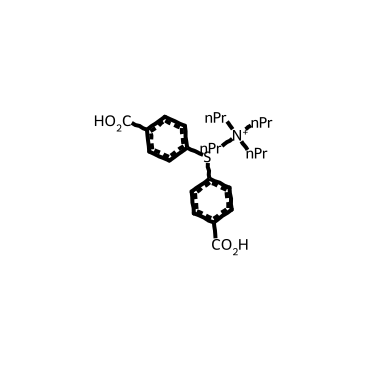 CCC[N+](CCC)(CCC)CCC.O=C(O)c1ccc(Sc2ccc(C(=O)O)cc2)cc1